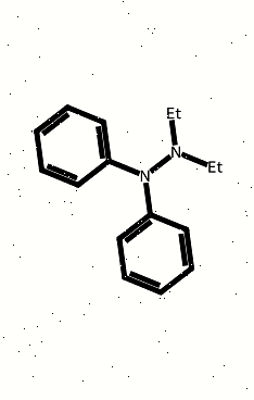 CCN(CC)N(c1cc[c]cc1)c1ccccc1